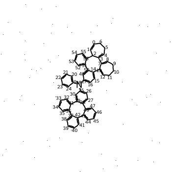 C1=CC2C(=CCC1)C1=CCCCC=C1c1ccc(N(c3ccccc3)c3ccc4c(c3)-c3ccccc3-c3ccccc3-c3ccccc3-4)cc1-c1ccccc12